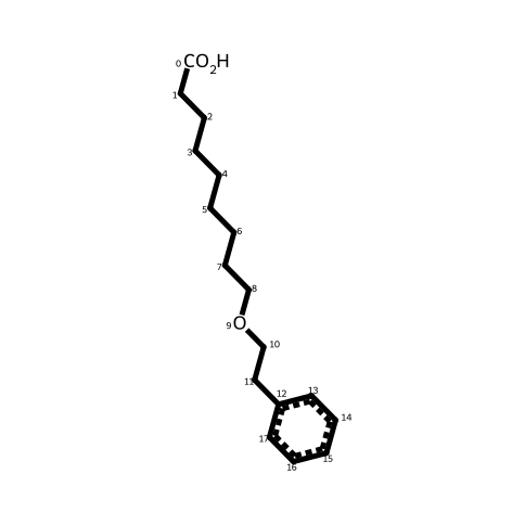 O=C(O)CCCCCCCCOCCc1ccccc1